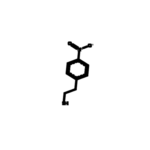 O=[N+]([O-])c1ccc(CCS)cc1